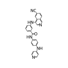 N#Cc1ccc2cncc(Nc3cccc(C(=O)Nc4ccc(Nc5ccncc5)cc4)c3)c2c1